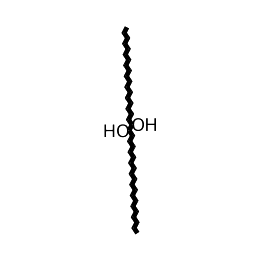 CCCCCCCCCCCCCCCCCCCC(O)C(O)CCCCCCCCCCCCCCCCCC